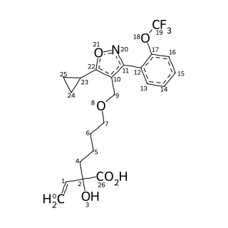 C=CC(O)(CCCCOCc1c(-c2ccccc2OC(F)(F)F)noc1C1CC1)C(=O)O